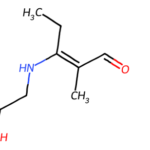 CCC(NCCO)=C(C)C=O